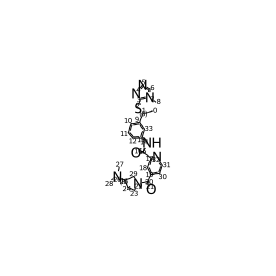 C[C@H](Sc1nncn1C)c1cccc(NC(=O)c2cc(C(=O)N3CC[C@@H](N(C)C)C3)ccn2)c1